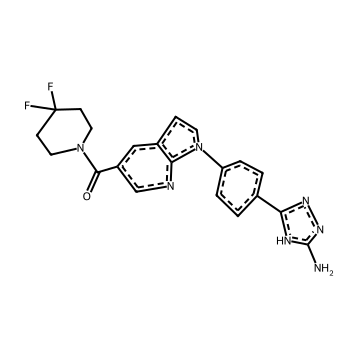 Nc1nnc(-c2ccc(-n3ccc4cc(C(=O)N5CCC(F)(F)CC5)cnc43)cc2)[nH]1